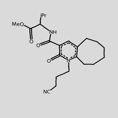 COC(=O)C(NC(=O)c1cc2c(n(CCCC#N)c1=O)CCCCCC2)C(C)C